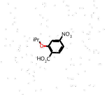 CC(C)Oc1cc([N+](=O)[O-])ccc1C(=O)O